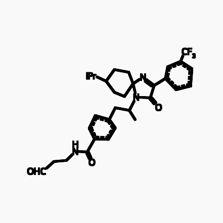 CC(C)C1CCC2(CC1)N=C(c1cccc(C(F)(F)F)c1)C(=O)N2C(C)Cc1ccc(C(=O)NCCC=O)cc1